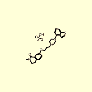 CN1CCc2ccc(OCCCN3CCN(c4cccc5sccc45)CC3)cc2C1=O.CS(=O)(=O)O